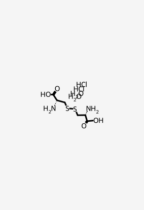 Cl.Cl.N[C@@H](CSSC[C@H](N)C(=O)O)C(=O)O.O.O